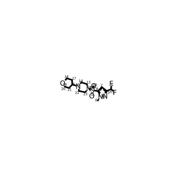 Cn1nc(C(F)F)cc1S(=O)(=O)N1CCN(C2CCOCC2)CC1